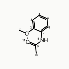 COc1cc[c]cc1NC(C)=O